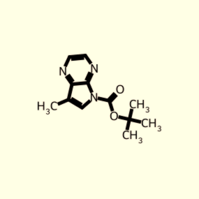 Cc1cn(C(=O)OC(C)(C)C)c2nccnc12